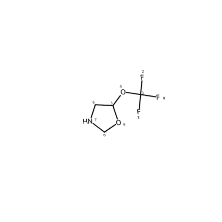 FC(F)(F)OC1CN[CH]O1